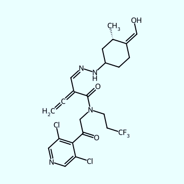 C=C=C(/C=N\NC1CC/C(=C/O)[C@@H](C)C1)C(=O)N(CCC(F)(F)F)CC(=O)c1c(Cl)cncc1Cl